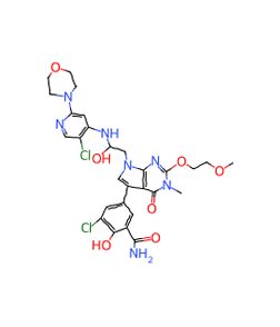 COCCOc1nc2c(c(-c3cc(Cl)c(O)c(C(N)=O)c3)cn2CC(O)Nc2cc(N3CCOCC3)ncc2Cl)c(=O)n1C